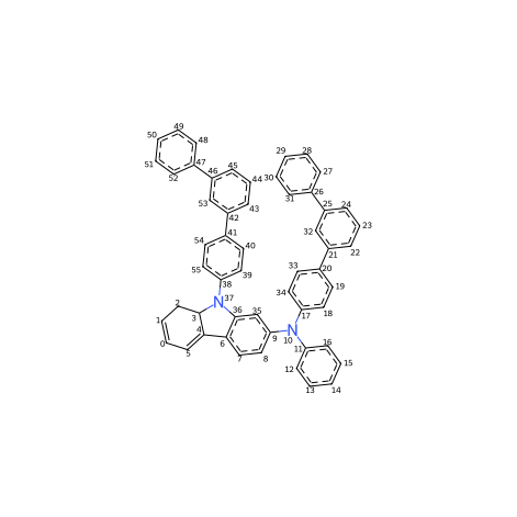 C1=CCC2C(=C1)c1ccc(N(c3ccccc3)c3ccc(-c4cccc(-c5ccccc5)c4)cc3)cc1N2c1ccc(-c2cccc(-c3ccccc3)c2)cc1